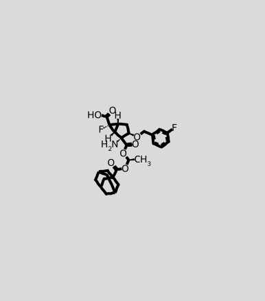 C[C@@H](OC(=O)C12CC3CC(CC(C3)C1)C2)OC(=O)[C@@]1(N)[C@H]2[C@@H](C[C@H]1OCc1cccc(F)c1)[C@]2(F)C(=O)O